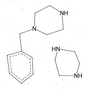 C1CNCCN1.c1ccc(CN2CCNCC2)cc1